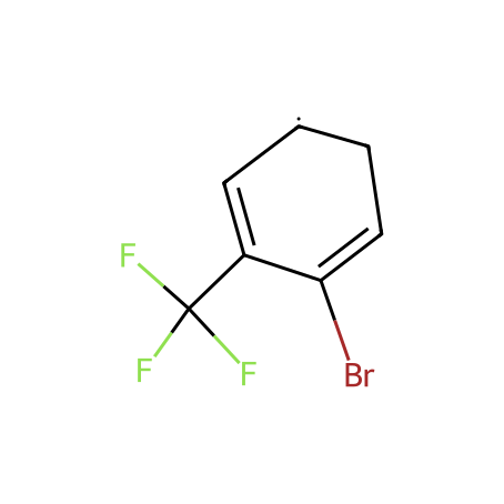 FC(F)(F)C1=C[CH]CC=C1Br